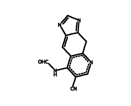 N#Cc1cnc2c(c1NC=O)C=C1N=CN=C1C2